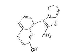 CC1=C(c2cccc3ccc(O)cc23)N2CCN=C2S1